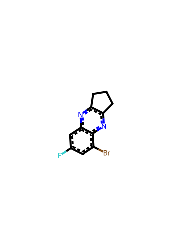 Fc1cc(Br)c2nc3c(nc2c1)CCC3